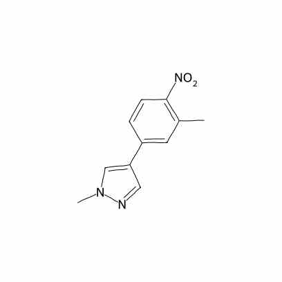 Cc1cc(-c2cnn(C)c2)ccc1[N+](=O)[O-]